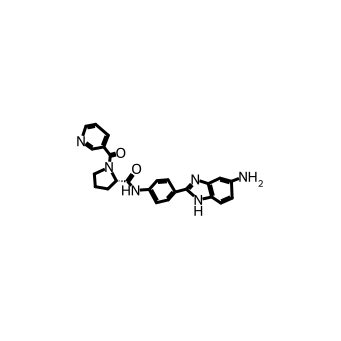 Nc1ccc2[nH]c(-c3ccc(NC(=O)[C@@H]4CCCN4C(=O)c4cccnc4)cc3)nc2c1